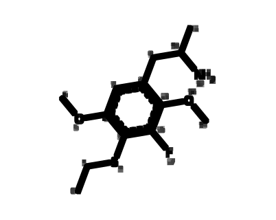 CCSc1c(OC)cc(CC(C)N)c(OC)c1F